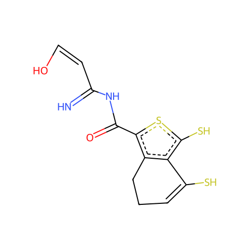 N=C(/C=C\O)NC(=O)c1sc(S)c2c1CCC=C2S